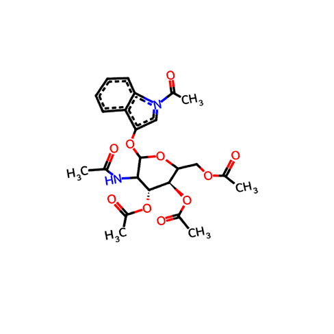 CC(=O)NC1C(Oc2cn(C(C)=O)c3ccccc23)OC(COC(C)=O)[C@@H](OC(C)=O)[C@@H]1OC(C)=O